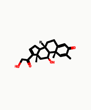 CC1=C[C@@]2(C)C(=CC1=O)CC[C@@H]1C2[C@@H](O)C[C@]2(C)C(C(=O)CO)=CCC12